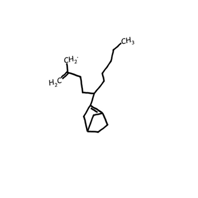 [CH2]C(=C)CCC(CCCCC)C1=C2CCC(C2)C1